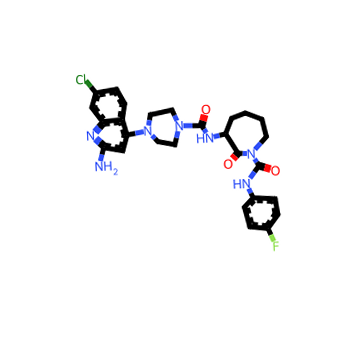 Nc1cc(N2CCN(C(=O)NC3CCCCN(C(=O)Nc4ccc(F)cc4)C3=O)CC2)c2ccc(Cl)cc2n1